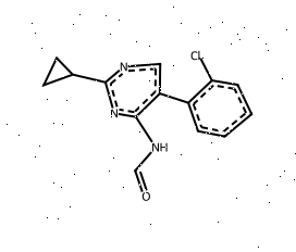 O=CNc1nc(C2CC2)ncc1-c1ccccc1Cl